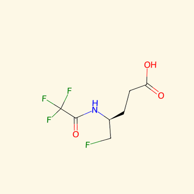 O=C(O)CC[C@@H](CF)NC(=O)C(F)(F)F